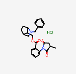 CC1CC(=O)N(c2ccccc2C(=O)OCC2C3CCC2N(Cc2ccccc2)C3)C1=O.Cl